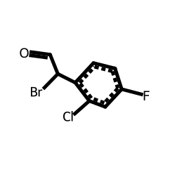 O=CC(Br)c1ccc(F)cc1Cl